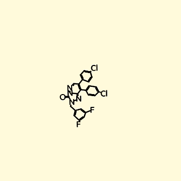 O=c1n(Cc2cc(F)cc(F)c2)nc2c(-c3ccc(Cl)cc3)c(-c3ccc(Cl)cc3)cnn12